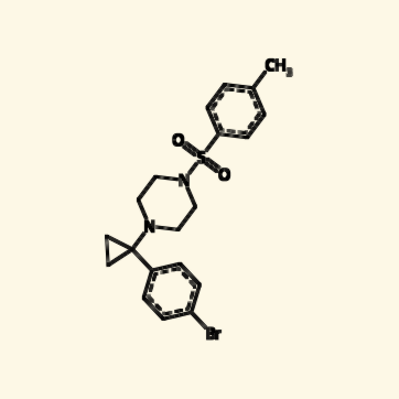 Cc1ccc(S(=O)(=O)N2CCN(C3(c4ccc(Br)cc4)CC3)CC2)cc1